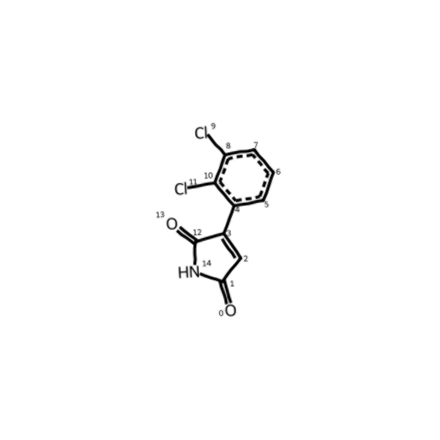 O=C1C=C(c2cccc(Cl)c2Cl)C(=O)N1